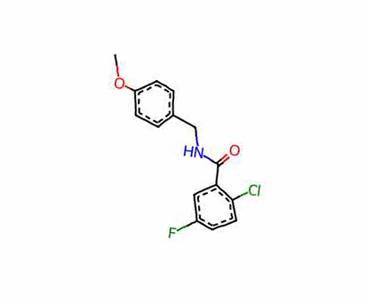 COc1ccc(CNC(=O)c2cc(F)ccc2Cl)cc1